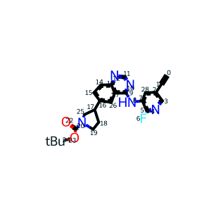 C#Cc1cnc(F)c(Nc2ncnc3ccc(C4CCN(C(=O)OC(C)(C)C)C4)cc23)c1